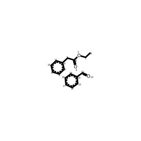 CCOC(=O)Cc1ccccc1.O=Cc1ccccc1